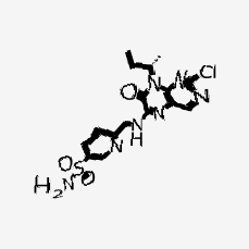 CC[C@H](C)n1c(=O)c(NCc2ccc(S(N)(=O)=O)cn2)nc2cnc(Cl)nc21